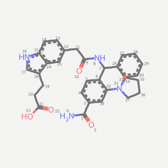 NC(=O)c1ccc(C(NC(=O)Cc2ccc3[nH]cc(CCC(=O)O)c3c2)c2ccccc2)c(N2CCCC2)c1